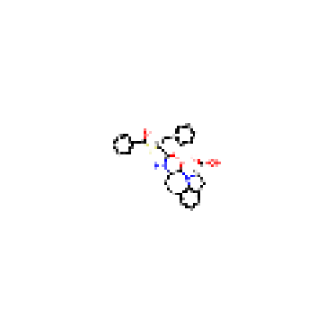 O=C(S[C@@H](Cc1ccccc1)C(=O)NC1CCc2cccc3c2N(C1=O)[C@H](C(=O)O)C3)c1ccccc1